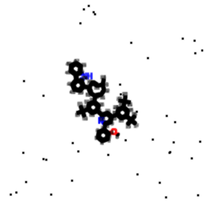 COc1ccccc1-c1cc(-c2cc(C(C)(C)C)cc(C(C)(C)C)c2)cc(-c2cc(C3=C/CC(C)/C=C/C(c4cccc5c4[nH]c4ccccc45)=C\3)cc(C(C)(C)C)c2)n1